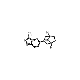 FC(F)(F)c1nnc2ccc(N3C[C@H]4CC[C@@H](C3)N4)nn12